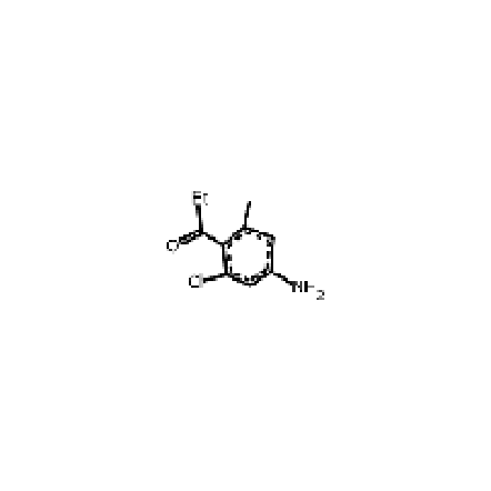 CCC(=O)c1c(C)cc(N)cc1Cl